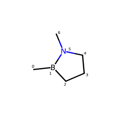 CB1CCCN1C